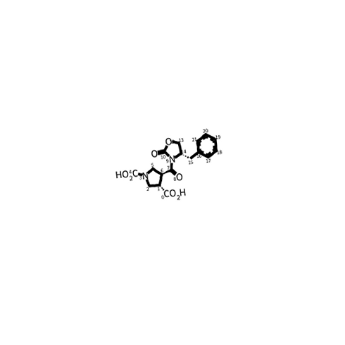 O=C(O)[C@@H]1CN(C(=O)O)C[C@H]1C(=O)N1C(=O)OC[C@@H]1Cc1ccccc1